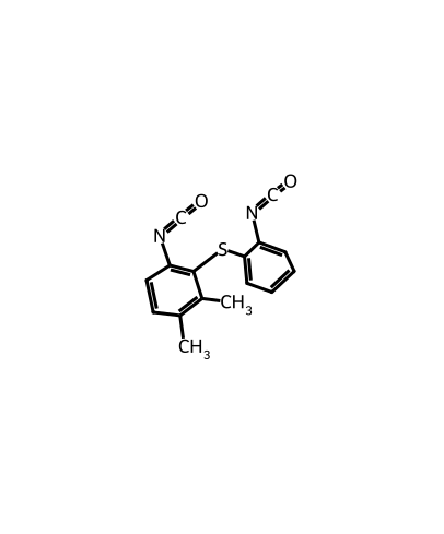 Cc1ccc(N=C=O)c(Sc2ccccc2N=C=O)c1C